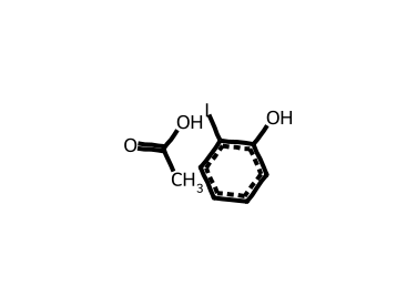 CC(=O)O.Oc1ccccc1I